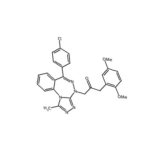 COc1ccc(OC)c(CC(=O)CN2N=C(c3ccc(Cl)cc3)c3ccccc3-n3c(C)nnc32)c1